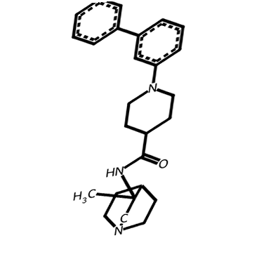 CC1(NC(=O)C2CCN(c3cccc(-c4ccccc4)c3)CC2)CN2CCC1CC2